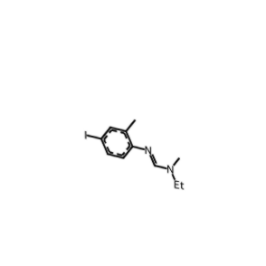 CCN(C)C=Nc1ccc(I)cc1C